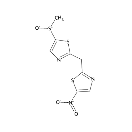 C[S+]([O-])c1cnc(Cc2ncc([N+](=O)[O-])s2)s1